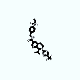 CCS(=O)(=O)c1ccc(CNC(=O)c2cnc3c(c2)CCN(c2ncc(C(F)(F)F)cn2)C3C(C)C)cc1